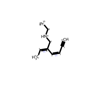 C#C/C=C\C(=C/C)CNCC(C)C